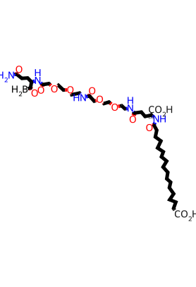 BC(=O)C(CCC(N)=O)NC(=O)COCCOCCNC(=O)COCCOCCNC(=O)CC[C@H](NC(=O)CCCCCCCCCCCCCCCCC(=O)O)C(=O)O